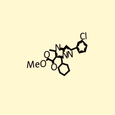 COC(=O)C(=O)c1c(C)nc2cc(-c3cccc(Cl)c3)nn2c1C1CCCCC1